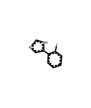 Ic1ccccc1-c1cnc[nH]1